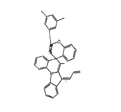 C=C/C=c1\c2n(c3ccccc13)-c1ccccc1C1(C=2C)c2ccccc2Oc2c(-c3cc(C)cc(C)c3)cccc21